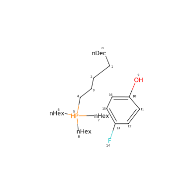 CCCCCCCCCCCCCC[PH](CCCCCC)(CCCCCC)CCCCCC.Oc1ccc(F)cc1